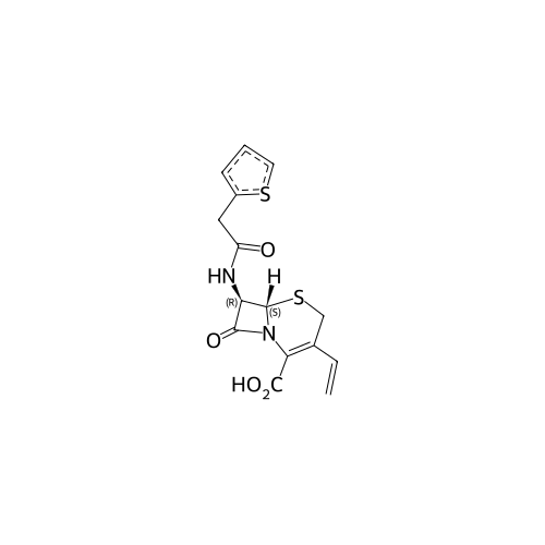 C=CC1=C(C(=O)O)N2C(=O)[C@@H](NC(=O)Cc3cccs3)[C@@H]2SC1